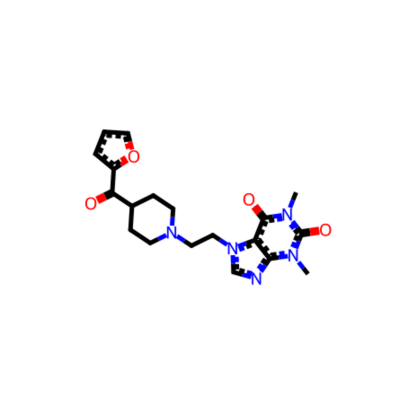 Cn1c(=O)c2c(ncn2CCN2CCC(C(=O)c3ccco3)CC2)n(C)c1=O